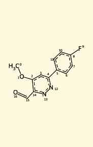 COc1cc(-c2ccc(F)cc2)nnc1C=O